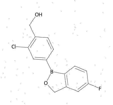 OCc1ccc(B2OCc3cc(F)ccc32)cc1Cl